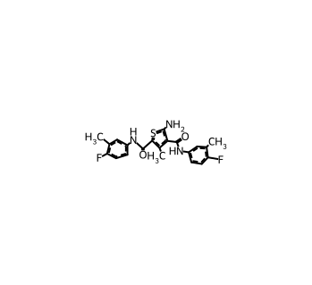 Cc1cc(NC(=O)c2sc(N)c(C(=O)Nc3ccc(F)c(C)c3)c2C)ccc1F